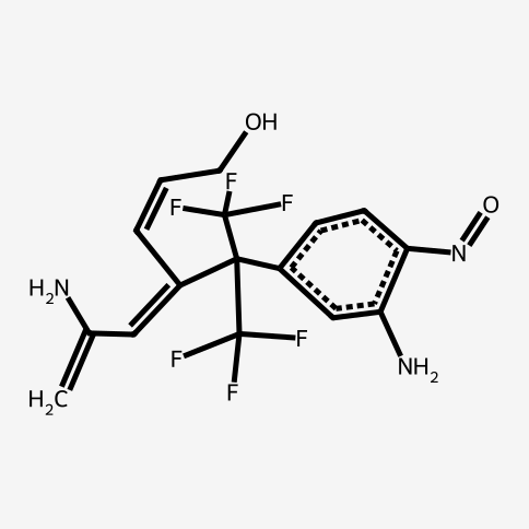 C=C(N)/C=C(\C=C/CO)C(c1ccc(N=O)c(N)c1)(C(F)(F)F)C(F)(F)F